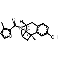 Cc1ccoc1C(=O)N1C2C[C@@]3(C)c4cc(O)ccc4C[C@@H]1[C@H]23